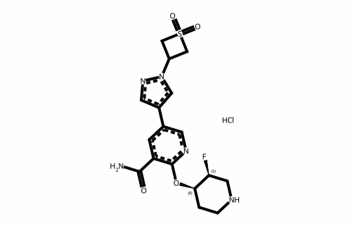 Cl.NC(=O)c1cc(-c2cnn(C3CS(=O)(=O)C3)c2)cnc1O[C@@H]1CCNC[C@@H]1F